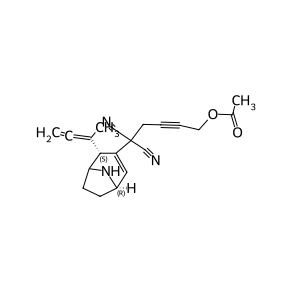 C=C=C(C)[C@@H]1C(C(C#N)(C#N)CC#CCOC(C)=O)=C[C@H]2CCC1N2